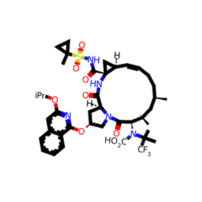 CC(C)Oc1cc2ccccc2c(O[C@@H]2C[C@H]3C(=O)N[C@]4(C(=O)NS(=O)(=O)C5(C)CC5)C[C@H]4C=CCC[C@@H](C)C[C@@H](C)[C@H](N(C(=O)O)C(C)(C)C(F)(F)F)C(=O)N3C2)n1